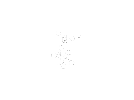 N#Cc1ccc(-c2nc(-c3ccccc3)nc(-c3ccc(-n4c5ccccc5c5c6sc7ccccc7c6c6c(c7ccccc7n6-c6ccccc6)c54)cc3)n2)cc1